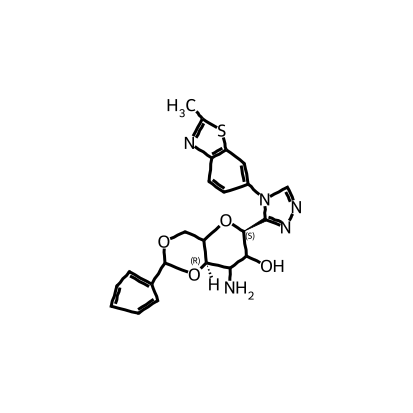 Cc1nc2ccc(-n3cnnc3[C@@H]3OC4COC(c5ccccc5)O[C@@H]4C(N)C3O)cc2s1